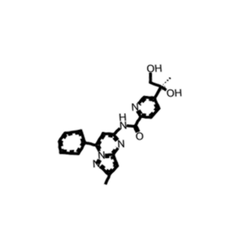 Cc1cc2nc(NC(=O)c3ccc([C@](C)(O)CO)cn3)cc(-c3ccccc3)n2n1